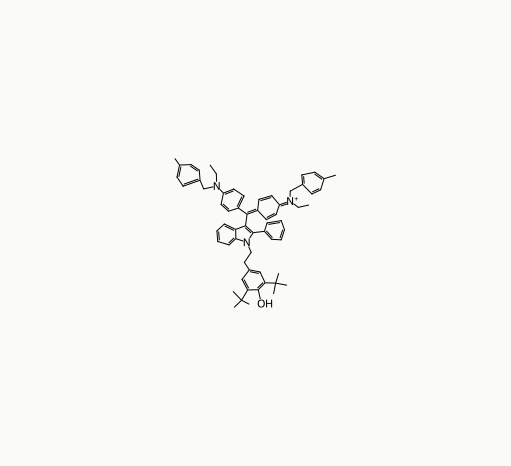 CCN(Cc1ccc(C)cc1)c1ccc(C(=C2C=CC(=[N+](CC)Cc3ccc(C)cc3)C=C2)c2c(-c3ccccc3)n(CCc3cc(C(C)(C)C)c(O)c(C(C)(C)C)c3)c3ccccc23)cc1